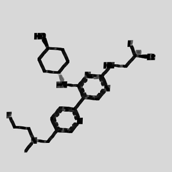 CC[C@H](F)CNc1ncc(-c2ccc(CN(C)CCF)cn2)c(N[C@H]2CC[C@H](O)CC2)n1